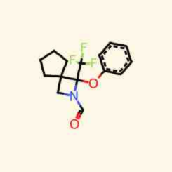 O=CN1CC2(CCCC2)C1(Oc1ccccc1)C(F)(F)F